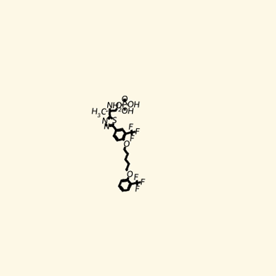 C[C@](N)(COP(=O)(O)O)c1nnc(-c2ccc(OCCCCCOc3ccccc3C(F)(F)F)c(C(F)(F)F)c2)s1